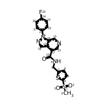 CS(=O)(=O)c1ccc(CNC(=O)c2cncc3c2cnn3-c2ccc(F)cc2)s1